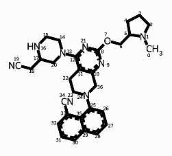 CN1CCCC1COc1nc2c(c(N3CCNC(CC#N)C3)n1)CCN(c1cccc3cccc(C#N)c13)C2